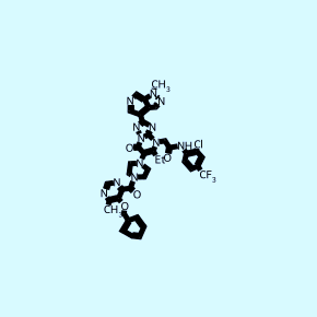 CCc1c(N2CCN(C(=O)c3ncnc(C)c3OCc3ccccc3)CC2)c(=O)n2nc(-c3cncc4c3cnn4C)nc2n1CC(=O)Nc1ccc(C(F)(F)F)cc1Cl